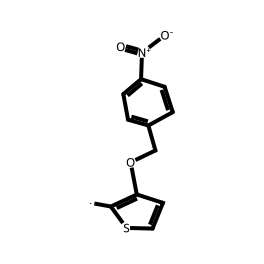 [CH2]c1sccc1OCc1ccc([N+](=O)[O-])cc1